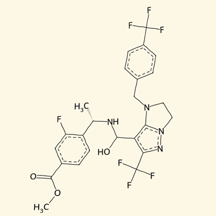 COC(=O)c1ccc([C@H](C)NC(O)c2c(C(F)(F)F)nn3c2N(Cc2ccc(C(F)(F)F)cc2)CC3)c(F)c1